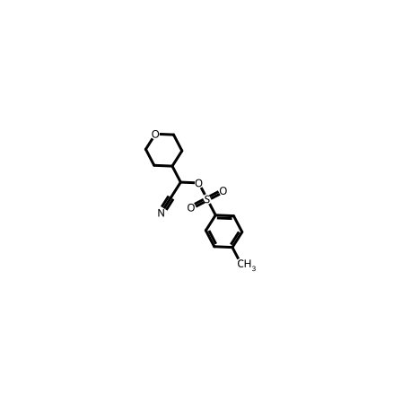 Cc1ccc(S(=O)(=O)OC(C#N)C2CCOCC2)cc1